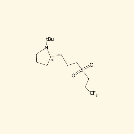 CC(C)(C)N1CCC[C@H]1CCCS(=O)(=O)CCC(F)(F)F